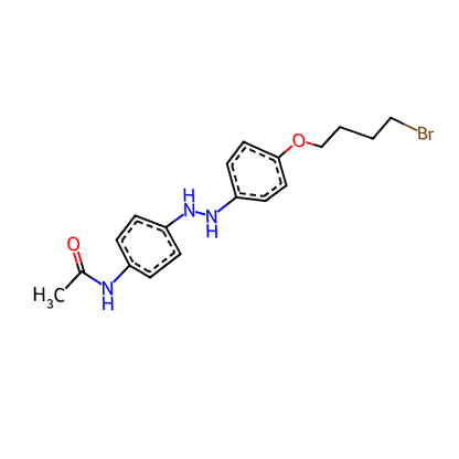 CC(=O)Nc1ccc(NNc2ccc(OCCCCBr)cc2)cc1